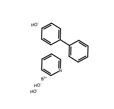 [B+3].[OH-].[OH-].[OH-].c1ccc(-c2ccccc2)cc1.c1ccncc1